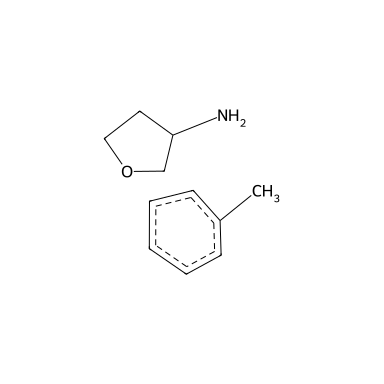 Cc1ccccc1.NC1CCOC1